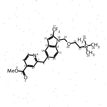 COC(=O)c1ccnc(Cc2ccc3c(c2)cc(C(F)(F)F)n3COCC[Si](C)(C)C)c1